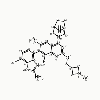 CC(=O)N1CC(COc2nc(N3CC4CCC(C3)N4)c3cc(C(F)(F)F)c(-c4ccc(F)c5sc(N)nc45)c(F)c3n2)C1